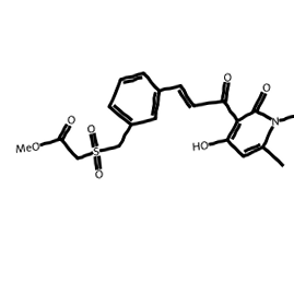 COC(=O)CS(=O)(=O)Cc1cccc(C=CC(=O)c2c(O)cc(C)n(C)c2=O)c1